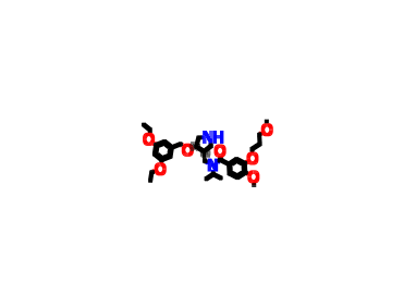 CCOc1cc(CO[C@@H]2CNC[C@H]2CN(C(=O)c2ccc(OC)c(OCCCOC)c2)C(C)C)cc(OCC)c1